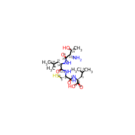 CC(C)C[C@H](NC(=O)[C@H](CS)NC(=O)[C@H](CC(C)C)NC(=O)[C@@H](N)[C@@H](C)O)C(=O)O